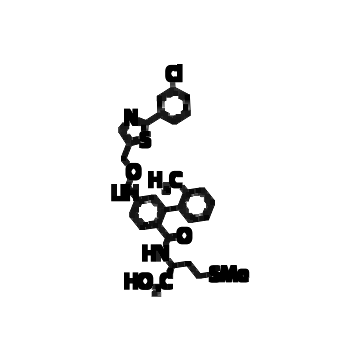 CSCC[C@H](NC(=O)c1ccc(COCc2cnc(-c3cccc(Cl)c3)s2)cc1-c1ccccc1C)C(=O)O.[LiH]